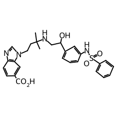 CC(C)(CCn1cnc2ccc(C(=O)O)cc21)NCC(O)c1cccc(NS(=O)(=O)c2ccccc2)c1